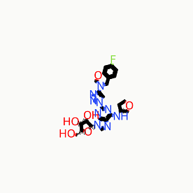 O=CN(Cc1ccc(F)cc1)c1cn(-c2nc(N[C@@H]3CCOC3)c3ncn([C@@H]4O[C@H](CO)[C@@H](O)[C@H]4O)c3n2)nn1